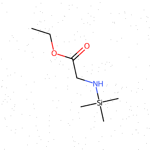 CCOC(=O)CN[Si](C)(C)C